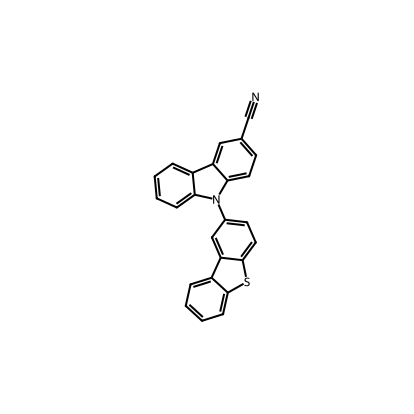 N#Cc1ccc2c(c1)c1ccccc1n2-c1ccc2sc3ccccc3c2c1